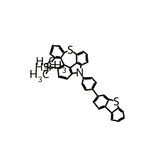 Cc1cccc2sc3cccc4c3c3c(c([SiH](C)C)ccc3n4-c3ccc(-c4ccc5c(c4)sc4ccccc45)cc3)c12